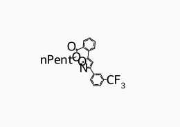 CCCCCOC(=O)c1ccccc1-c1cc(-c2cccc(C(F)(F)F)c2)no1